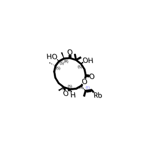 C/C(=[CH]\[Rb])[C@@H]1C[C@@H]2O[C@]2(C)CCC[C@H](C)[C@H](O)[C@@H](C)C(=O)C(C)(C)[C@@H](O)CC(=O)O1